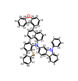 c1ccc(-n2c3ccccc3c3ccc(N(c4cccc5c(-c6cccc7oc8ccccc8c67)cccc45)c4cccc5c4sc4ccccc45)cc32)cc1